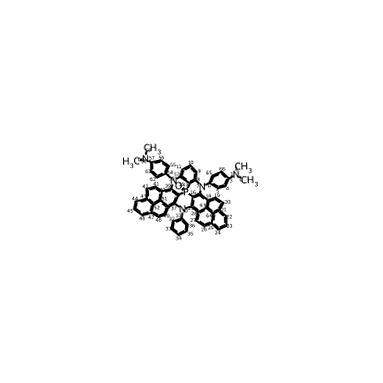 CN(C)c1ccc(N2c3cccc4c3P3(=O)c5c2c2ccc6cccc7ccc(c5N(c5ccccc5)c5c3c(c3ccc8cccc9ccc5c3c89)N4c3ccc(N(C)C)cc3)c2c67)cc1